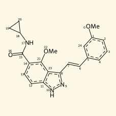 COc1cccc(C=Cc2n[nH]c3ccc(C(=O)NC4CC4)c(OC)c23)c1